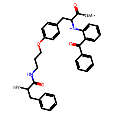 CCCC(Cc1ccccc1)C(=O)NCCCOc1ccc(CC(Nc2ccccc2C(=O)c2ccccc2)C(=O)OC)cc1